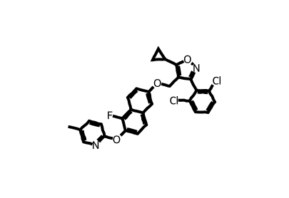 Cc1ccc(Oc2ccc3cc(OCc4c(-c5c(Cl)cccc5Cl)noc4C4CC4)ccc3c2F)nc1